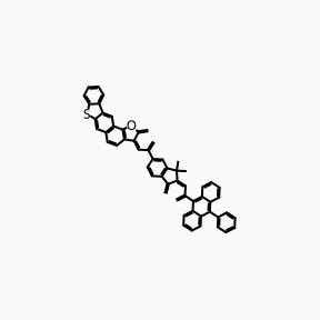 C=C(/C=c1\c(=C)oc2c1ccc1cc3sc4ccccc4c3cc12)c1ccc2c(c1)C(C)(C)/C(=C/C(=C)c1c3ccccc3c(-c3ccccc3)c3ccccc13)C2=C